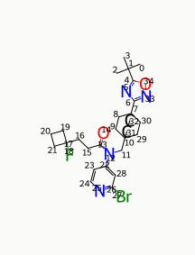 CC(C)(C)c1nc(C23CCC(CN(C(=O)CCC4(F)CCC4)c4ccnc(Br)c4)(CC2)CC3)no1